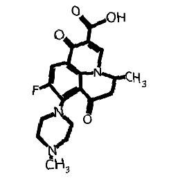 CC1CC(=O)c2c(N3CCN(C)CC3)c(F)cc3c(=O)c(C(=O)O)cn1c23